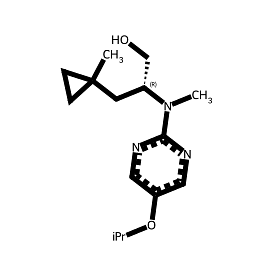 CC(C)Oc1cnc(N(C)[C@@H](CO)CC2(C)CC2)nc1